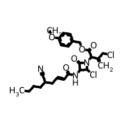 C=C(CCl)C(C(=O)OCc1ccc(OC)cc1)N1C(=O)C(NC(=O)C=CCC(C#N)CCCC)C1Cl